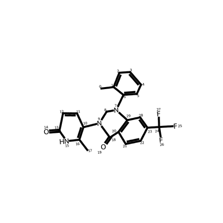 Cc1ccccc1N1CN(c2ccc(=O)[nH]c2C)C(=O)c2ccc(C(F)(F)F)cc21